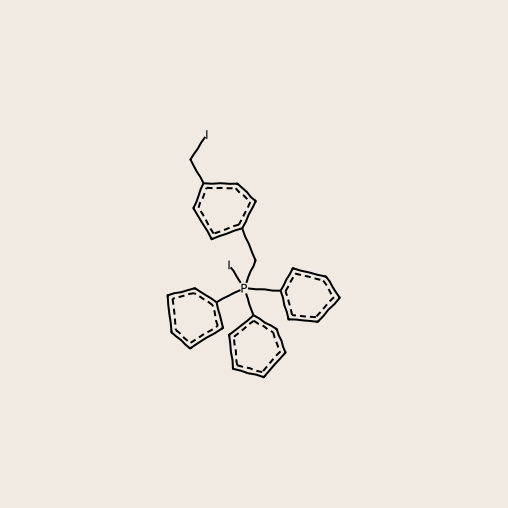 ICc1ccc(CP(I)(c2ccccc2)(c2ccccc2)c2ccccc2)cc1